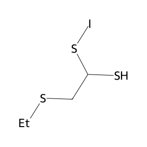 CCSCC(S)SI